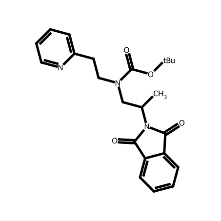 CC(CN(CCc1ccccn1)C(=O)OC(C)(C)C)N1C(=O)c2ccccc2C1=O